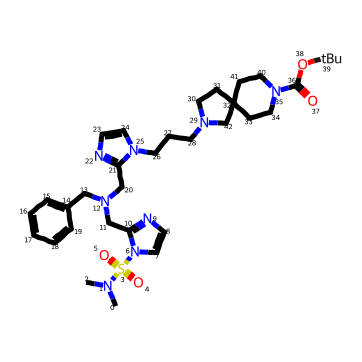 CN(C)S(=O)(=O)n1ccnc1CN(Cc1ccccc1)Cc1nccn1CCCN1CCC2(CCN(C(=O)OC(C)(C)C)CC2)C1